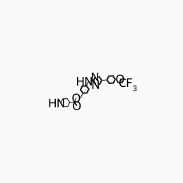 O=C(OCc1ccc(Nc2ncc(-c3ccc(OC(F)(F)F)cc3)cn2)cc1)C1CCNCC1